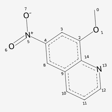 COc1cc([N+](=O)[O-])cc2cccnc12